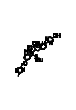 CCC(CC)(C(=O)O)C(Cc1ccc(-c2ncc(O)cn2)cc1)c1[nH]c2ccc(OCc3cnc(C)cn3)cc2c1SC(C)(C)C